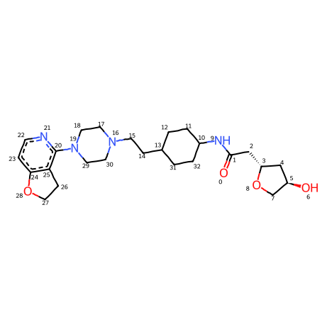 O=C(C[C@@H]1C[C@@H](O)CO1)NC1CCC(CCN2CCN(c3nccc4c3CCO4)CC2)CC1